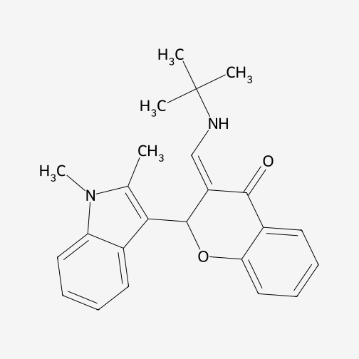 Cc1c(C2Oc3ccccc3C(=O)/C2=C\NC(C)(C)C)c2ccccc2n1C